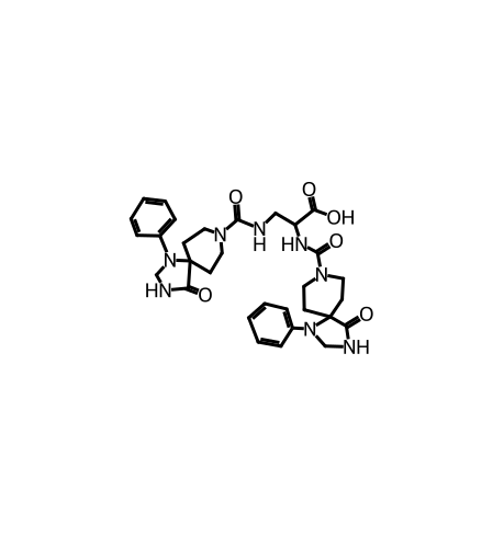 O=C(O)C(CNC(=O)N1CCC2(CC1)C(=O)NCN2c1ccccc1)NC(=O)N1CCC2(CC1)C(=O)NCN2c1ccccc1